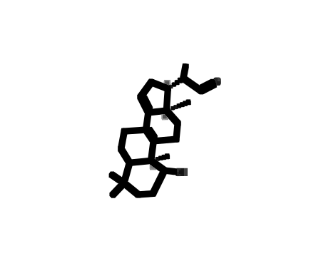 CC(C=O)[C@H]1CC=C2C3=C(CC[C@@]21C)[C@@]1(C)C(O)CCC(C)(C)C1CC3